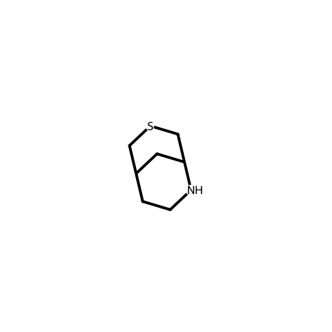 C1CC2CSCC(C2)N1